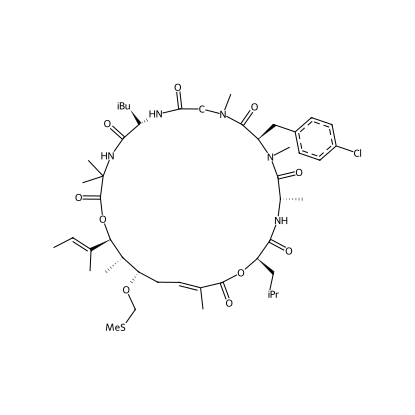 C/C=C(\C)[C@H]1OC(=O)C(C)(C)NC(=O)[C@H]([C@H](C)CC)NC(=O)CN(C)C(=O)[C@@H](Cc2ccc(Cl)cc2)N(C)C(=O)[C@H](C)NC(=O)[C@@H](CC(C)C)OC(=O)/C(C)=C/C[C@H](OCSC)[C@@H]1C